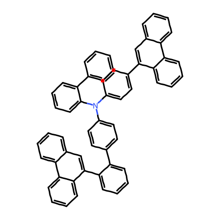 c1ccc(-c2ccccc2N(c2ccc(-c3ccccc3-c3cc4ccccc4c4ccccc34)cc2)c2ccc(-c3cc4ccccc4c4ccccc34)cc2)cc1